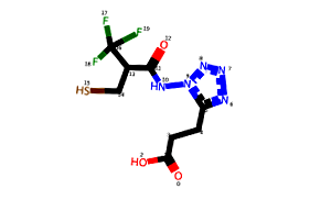 O=C(O)CCc1nnnn1NC(=O)C(CS)C(F)(F)F